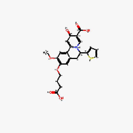 COc1cc2c(cc1OCCCC(=O)O)CC(c1cccs1)n1cc(C(=O)O)c(=O)cc1-2